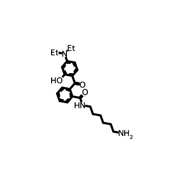 CCN(CC)c1ccc(C(=O)c2ccccc2C(=O)NCCCCCCN)c(O)c1